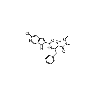 CON(C)C(=O)[C@H](O)[C@@H](Cc1ccccc1)NC(=O)c1cc2cc(Cl)ncc2[nH]1